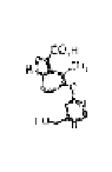 Cc1c(Oc2cc(CO)ncn2)ccc2[nH]cc(C(=O)O)c12